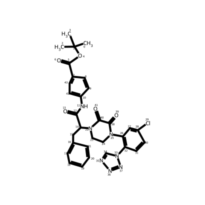 CC(C)(C)OC(=O)c1ccc(NC(=O)C(Cc2ccccc2)N2CCN(c3cc(Cl)ccc3-n3cnnn3)C(=O)C2=O)cc1